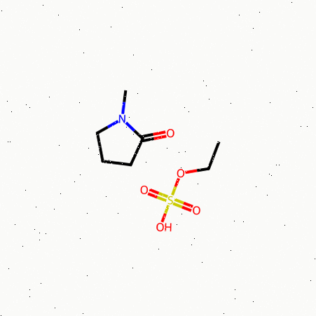 CCOS(=O)(=O)O.CN1CCCC1=O